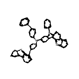 c1ccc(-c2ccc(N(c3ccc(-c4cccc5c4sc4ccccc45)cc3)c3ccc4c5c6sc7ccccc7c6ccc5n(-c5ccccc5)c4c3)cc2)cc1